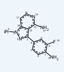 CC(C)n1nc(-c2ccc(N)c(F)c2)c2c(N)nccc21